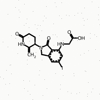 C=C1NC(=O)CCC1N1Cc2cc(I)cc(NCC(=O)O)c2C1=O